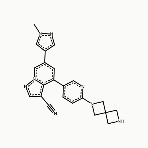 Cn1cc(-c2cc(-c3ccc(N4CC5(CNC5)C4)nc3)c3c(C#N)cnn3c2)cn1